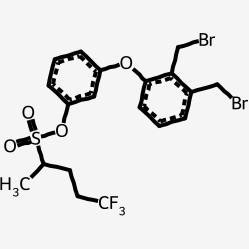 CC(CCC(F)(F)F)S(=O)(=O)Oc1cccc(Oc2cccc(CBr)c2CBr)c1